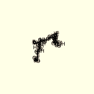 CC[C@@]1(O)C(=O)OCc2c1cc1n(c2=O)Cc2c-1nc1cc(F)c(C)c3c1c2C(NC(=O)COCNC(=O)CNC(=O)[C@H](CCc1ccccc1)NC(=O)CNC(=O)CNC(=O)CCCCCN1C(=O)C=CC1=O)CC3